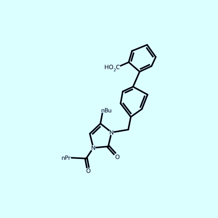 CCCCc1cn(C(=O)CCC)c(=O)n1Cc1ccc(-c2ccccc2C(=O)O)cc1